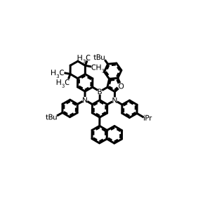 CC(C)c1ccc(N2c3cc(-c4cccc5ccccc45)cc4c3B(c3cc5c(cc3N4c3ccc(C(C)(C)C)cc3)C(C)(C)CCC5(C)C)c3c2oc2ccc(C(C)(C)C)cc32)cc1